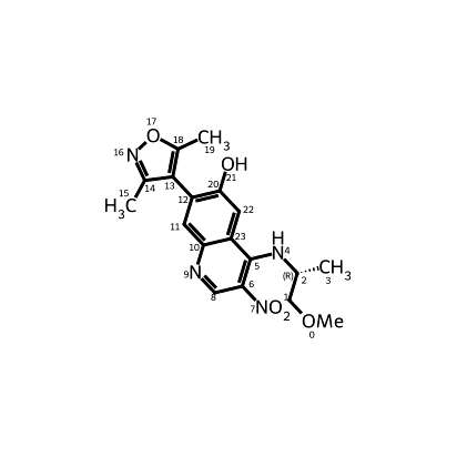 COC[C@@H](C)Nc1c([N+](=O)[O-])cnc2cc(-c3c(C)noc3C)c(O)cc12